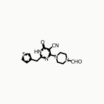 N#Cc1c(N2CCN(C=O)CC2)nc(Cc2ccsc2)[nH]c1=O